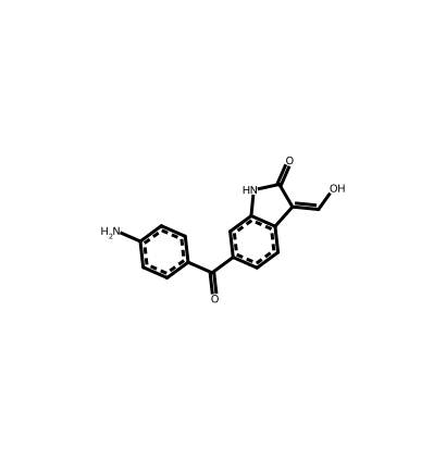 Nc1ccc(C(=O)c2ccc3c(c2)NC(=O)C3=CO)cc1